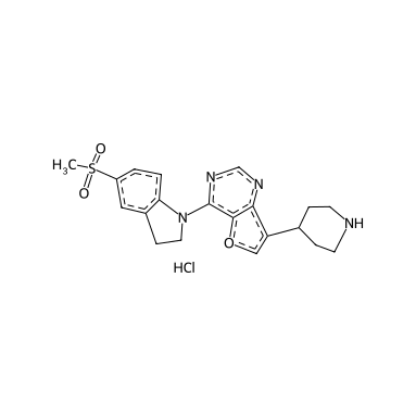 CS(=O)(=O)c1ccc2c(c1)CCN2c1ncnc2c(C3CCNCC3)coc12.Cl